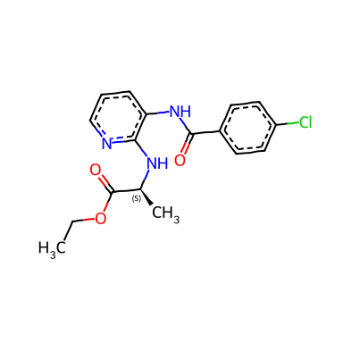 CCOC(=O)[C@H](C)Nc1ncccc1NC(=O)c1ccc(Cl)cc1